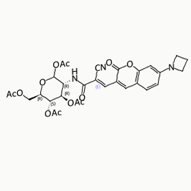 CC(=O)OC[C@H]1OC(OC(C)=O)[C@H](NC(=O)/C(C#N)=C/c2cc3ccc(N4CCC4)cc3oc2=O)[C@@H](OC(C)=O)[C@@H]1OC(C)=O